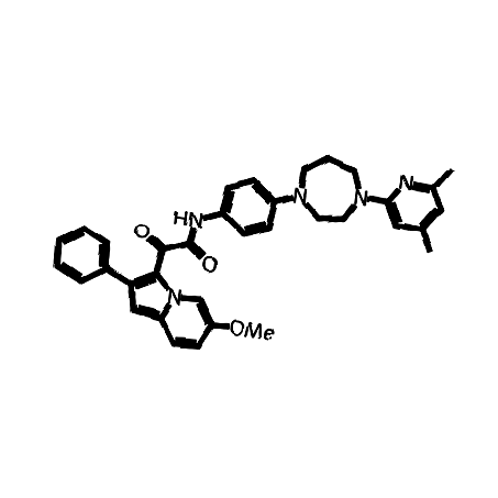 COc1ccc2cc(-c3ccccc3)c(C(=O)C(=O)Nc3ccc(N4CCCN(c5cc(C)cc(C)n5)CC4)cc3)n2c1